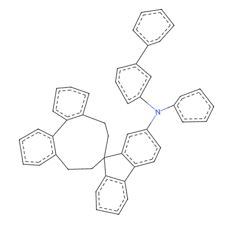 c1ccc(-c2cccc(N(c3ccccc3)c3ccc4c(c3)C3(CCc5ccccc5-c5ccccc5CC3)c3ccccc3-4)c2)cc1